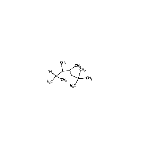 [3H]C(C)(C)C(C)C(C)CC(C)(C)C